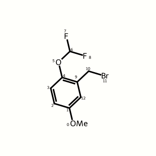 COc1ccc(OC(F)F)c(CBr)c1